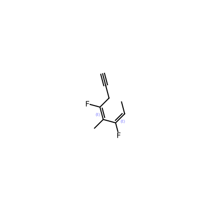 C#CC/C(F)=C(C)\C(F)=C/C